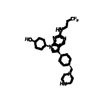 O[C@H]1CC[C@H](n2cc([C@H]3CC[C@@H](CN4CCNCC4)CC3)c3cnc(NCCC(F)(F)F)nc32)CC1